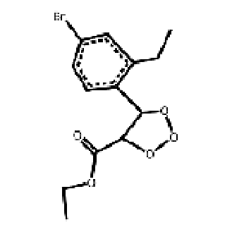 CCOC(=O)C1OOOC1c1ccc(Br)cc1CC